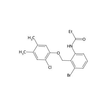 CCC(=O)Nc1cccc(Br)c1COc1cc(C)c(C)cc1Cl